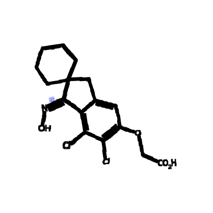 O=C(O)COc1cc2c(c(Cl)c1Cl)/C(=N\O)C1(CCCCC1)C2